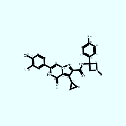 CN1CC(NC(=O)c2nn3cc(-c4ccc(Cl)c(Cl)c4)[nH]c(=O)c3c2C2CC2)(c2ccc(F)cc2)C1